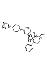 CC[C@H]1CCC(c2ccccc2)S(=O)(=O)N1Cc1ccc(N2CCC(n3cnnc3)CC2)cc1F